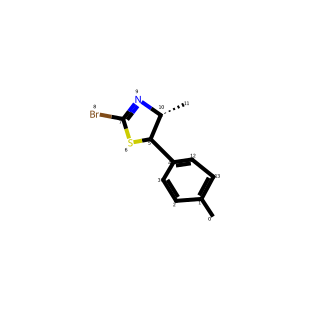 Cc1ccc(C2SC(Br)=N[C@@H]2C)cc1